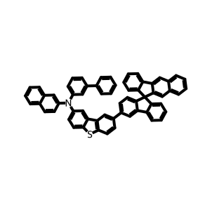 c1ccc(-c2cccc(N(c3ccc4ccccc4c3)c3ccc4sc5ccc(-c6ccc7c(c6)-c6ccccc6C76c7ccccc7-c7cc8ccccc8cc76)cc5c4c3)c2)cc1